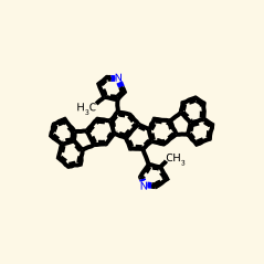 Cc1ccncc1-c1cc2c3cc4c(cc3c(-c3cnccc3C)cc2c2cc3c(cc12)-c1cccc2cccc-3c12)-c1cccc2cccc-4c12